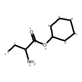 NC(CI)C(=O)OC1CCCCC1